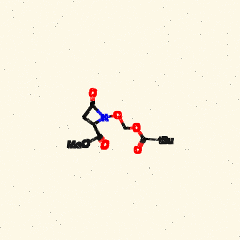 COC(=O)C1CC(=O)N1OCOC(=O)C(C)(C)C